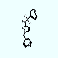 O=S(=O)(Nc1ccn(Cc2ccncc2)n1)c1ccccc1